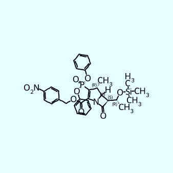 C[C@@H](O[Si](C)(C)C)[C@H]1C(=O)N2C(C(=O)OCc3ccc([N+](=O)[O-])cc3)=C(P(=O)(Oc3ccccc3)Oc3ccccc3)[C@H](C)[C@H]12